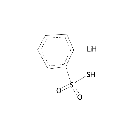 O=S(=O)(S)c1ccccc1.[LiH]